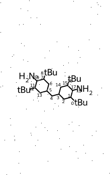 CC(C)(C)C1CC(CC2CC(C(C)(C)C)C(N)C(C(C)(C)C)C2)CC(C(C)(C)C)C1N